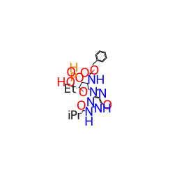 CC[C@H]1O[C@@H](n2cnc3c(=O)[nH]c(NC(=O)C(C)C)nc32)[C@H](NC(=O)OCc2ccccc2)[C@@H]1O[PH](=O)O